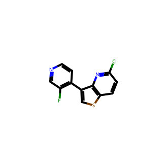 Fc1cnccc1-c1csc2ccc(Cl)nc12